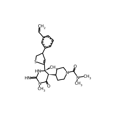 C=Cc1cccc(C2C=C([C@@]3(C)NC(=N)N(C)C(=O)[C@@H]3C3CCN(C(=O)N(C)C)CC3)SC2)c1